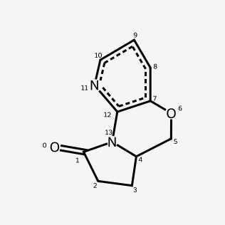 O=C1CCC2COc3cccnc3N12